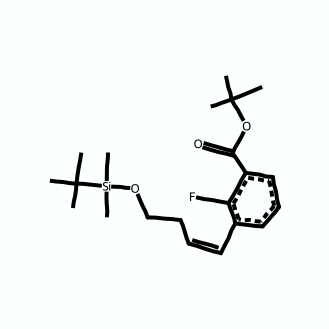 CC(C)(C)OC(=O)c1cccc(/C=C\CCO[Si](C)(C)C(C)(C)C)c1F